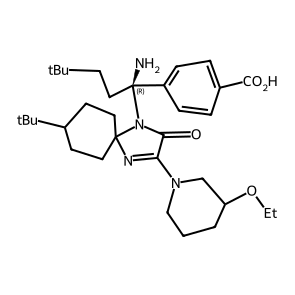 CCOC1CCCN(C2=NC3(CCC(C(C)(C)C)CC3)N([C@](N)(CCC(C)(C)C)c3ccc(C(=O)O)cc3)C2=O)C1